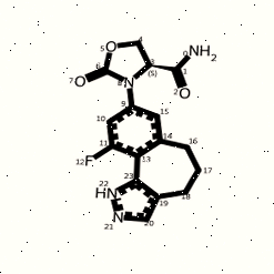 NC(=O)[C@@H]1COC(=O)N1c1cc(F)c2c(c1)CCCc1cn[nH]c1-2